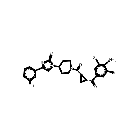 Nc1c(Br)cc(C(=O)[C@@H]2C[C@H]2C(=O)N2CCC(n3cc(-c4cccc(O)c4)[nH]c3=O)CC2)cc1Br